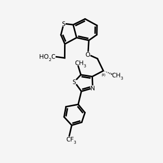 Cc1sc(-c2ccc(C(F)(F)F)cc2)nc1[C@@H](C)COc1cccc2scc(CC(=O)O)c12